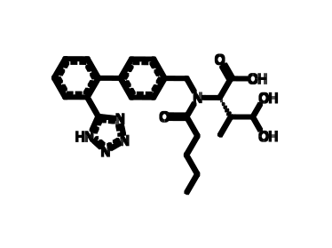 CCCCC(=O)N(Cc1ccc(-c2ccccc2-c2nnn[nH]2)cc1)[C@H](C(=O)O)C(C)C(O)O